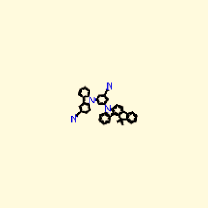 CC1(C)c2ccccc2-c2ccc3c(c21)c1ccccc1n3-c1cc(C#N)cc(-n2c3ccccc3c3cc(C#N)ccc32)c1